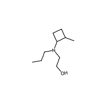 CCCN(CCO)C1CCC1C